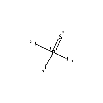 S=P(I)(I)I